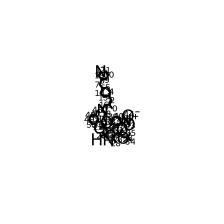 CC(=Cc1ccc(Cc2cccnc2)cc1)CN(CCOC(=O)C1=C(C)NC(C)=C(C(=O)OC(C)C)C1c1cccc([N+](=O)[O-])c1)Cc1ccccc1